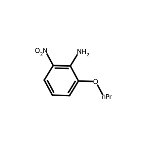 CCCOc1cccc([N+](=O)[O-])c1N